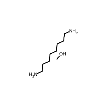 CO.NCCCCCCCCN